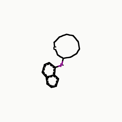 c1ccc2c([P]C3CCCCCCCCCC3)cccc2c1